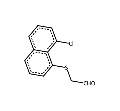 O=CCSc1cccc2cccc(Cl)c12